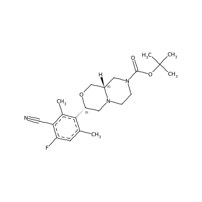 Cc1cc(F)c(C#N)c(C)c1[C@H]1CN2CCN(C(=O)OC(C)(C)C)C[C@H]2CO1